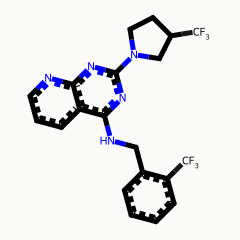 FC(F)(F)c1ccccc1CNc1nc(N2CCC(C(F)(F)F)C2)nc2ncccc12